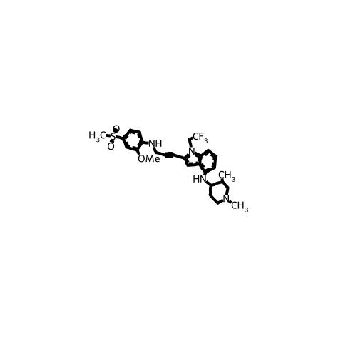 COc1cc(S(C)(=O)=O)ccc1NCC#Cc1cc2c(NC3CCN(C)CC3C)cccc2n1CC(F)(F)F